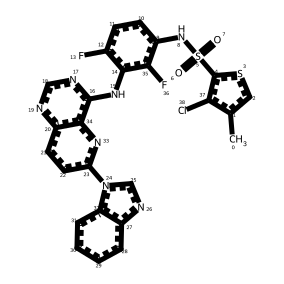 Cc1csc(S(=O)(=O)Nc2ccc(F)c(Nc3ncnc4ccc(-n5cnc6ccccc65)nc34)c2F)c1Cl